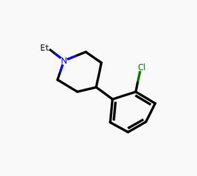 CCN1CCC(c2ccccc2Cl)CC1